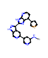 CC(C)Nc1cncc(-c2cc3c(-c4nc5c(-c6ccsc6)ccnc5[nH]4)n[nH]c3cn2)c1